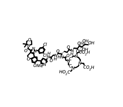 COc1cc2c(cc1-c1cncc(NC(=O)CNC(=O)[C@H](CCC(=O)NC[C@H](O)[C@@H](O)[C@H](O)[C@H](O)CO)NC(=O)CN3CCN(CC(=O)O)CCN(CC(=O)O)CCN(CC(=O)O)CC3)c1)-c1c(c(C(=O)N3CCOCC3(C)C)nn1-c1cc(Cl)cc(Cl)c1)CO2